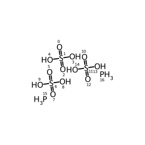 O=S(=O)(O)O.O=S(=O)(O)O.O=S(=O)(O)O.P.P